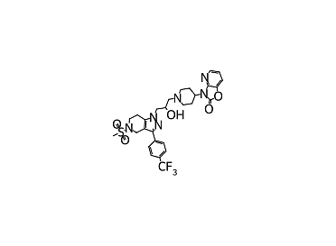 CS(=O)(=O)N1CCc2c(c(-c3ccc(C(F)(F)F)cc3)nn2CC(O)CN2CCC(n3c(=O)oc4cccnc43)CC2)C1